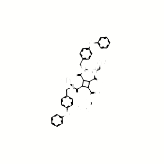 CCCN(Cc1ccc(Oc2ccccc2)cc1)C(=O)C1C(C(=O)OCOC(C)=O)C(C(=O)OCOC(C)=O)C1C(=O)N(CCC)Cc1ccc(Oc2ccccc2)cc1